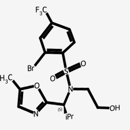 Cc1cnc([C@H](C(C)C)N(CCO)S(=O)(=O)c2ccc(C(F)(F)F)cc2Br)o1